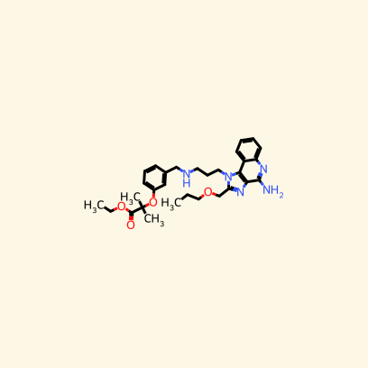 CCCOCc1nc2c(N)nc3ccccc3c2n1CCCNCc1cccc(OC(C)(C)C(=O)OCC)c1